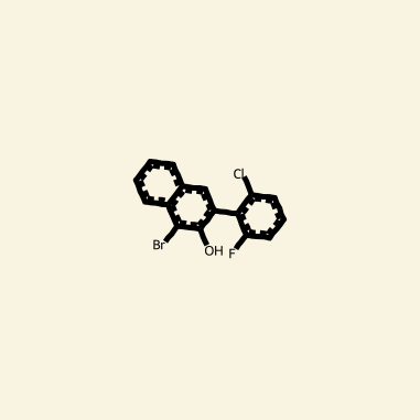 Oc1c(-c2c(F)cccc2Cl)cc2ccccc2c1Br